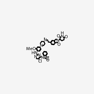 COc1cc(N2CCC(N(C)CCc3ccc4c(c3)CN(C3CCC(=O)NC3=O)C4=O)CC2)ccc1Nc1ncc(Cl)c(Nc2ccccc2P(C)(C)=O)n1